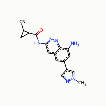 Cn1cc(-c2cc(N)c3nnc(NC(=O)C4CC4C#N)cc3c2)cn1